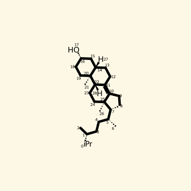 CC(C)[C@H](C)CC[C@@H](C)[C@H]1CCC2=C3CC[C@H]4C[C@@H](O)CC[C@]4(C)[C@H]3CC[C@@]21C